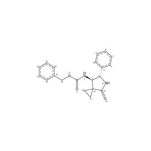 O=C(N[C@H]1[C@H](c2ccccc2)NC(=O)C12CC2)OCc1ccccc1